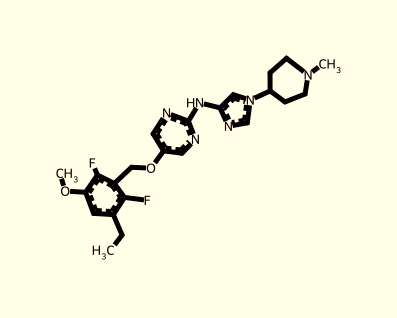 CCc1cc(OC)c(F)c(COc2cnc(Nc3cn(C4CCN(C)CC4)cn3)nc2)c1F